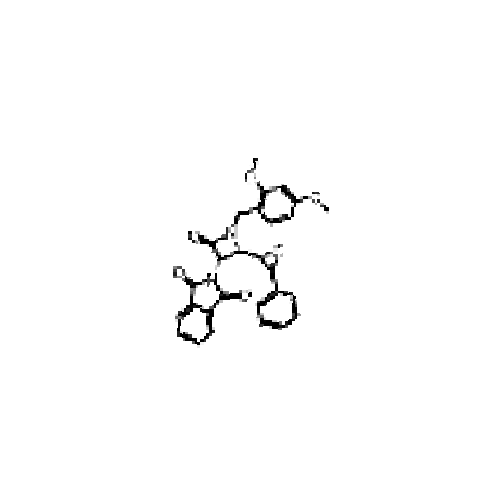 COc1ccc(CN2C(=O)[C@@H](N3C(=O)c4ccccc4C3=O)[C@H]2[C@H]2OC2c2ccccc2)c(OC)c1